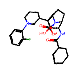 O=C(NC1C(O)C(C2CCCN(c3ccccc3F)C2)C2CCC1N2C(=O)O)C1CCCCC1